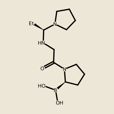 CC[C@H](NCC(=O)N1CCC[C@H]1B(O)O)N1CCCC1